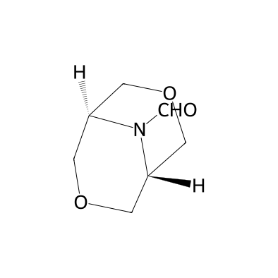 O=CN1[C@H]2COC[C@H]1COC2